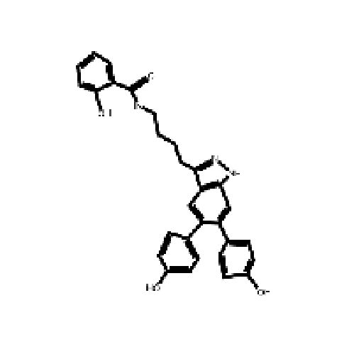 O=C(NCCCCc1n[nH]c2cc(-c3ccc(O)cc3)c(-c3ccc(O)cc3)cc12)c1ccccc1O